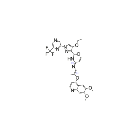 C=C/C(=N\C=C(/C)Oc1ccnc2cc(OC)c(OC)cc12)NC(=O)c1nn(-c2cncc(C(F)(F)F)n2)cc1OCC